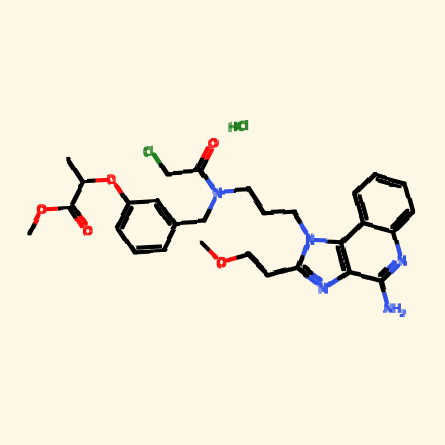 COCCc1nc2c(N)nc3ccccc3c2n1CCCN(Cc1cccc(OC(C)C(=O)OC)c1)C(=O)CCl.Cl